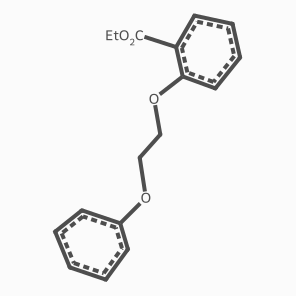 CCOC(=O)c1ccccc1OCCOc1ccccc1